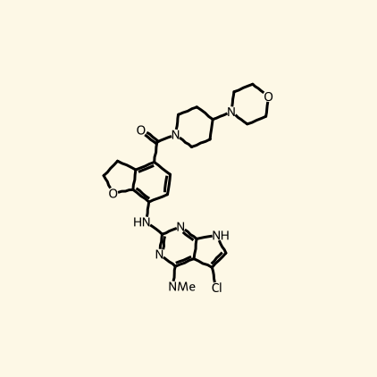 CNc1nc(Nc2ccc(C(=O)N3CCC(N4CCOCC4)CC3)c3c2OCC3)nc2[nH]cc(Cl)c12